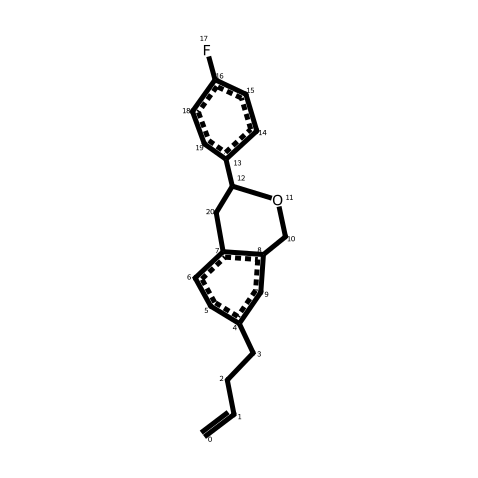 C=CCCc1ccc2c(c1)COC(c1ccc(F)cc1)C2